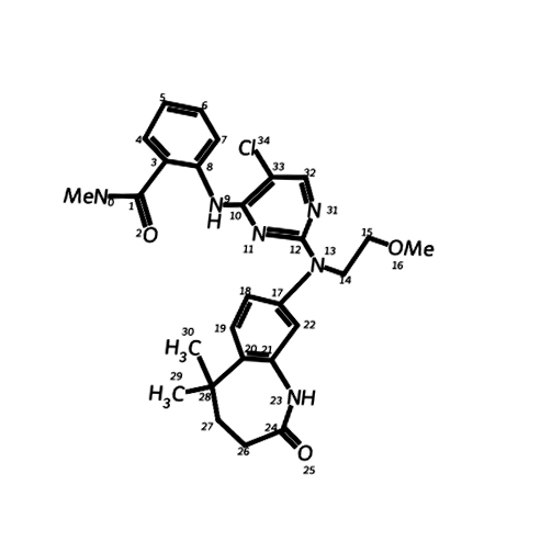 CNC(=O)c1ccccc1Nc1nc(N(CCOC)c2ccc3c(c2)NC(=O)CCC3(C)C)ncc1Cl